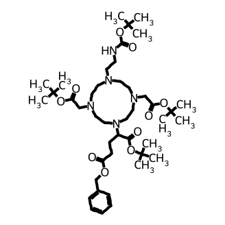 CC(C)(C)OC(=O)CN1CCN(CCNC(=O)OC(C)(C)C)CCN(CC(=O)OC(C)(C)C)CCN(C(CCC(=O)OCc2ccccc2)C(=O)OC(C)(C)C)CC1